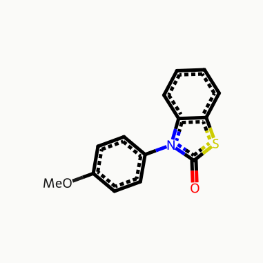 COc1ccc(-n2c(=O)sc3ccccc32)cc1